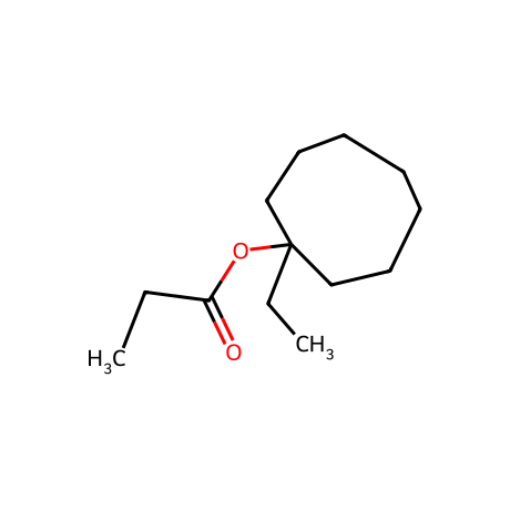 CCC(=O)OC1(CC)CCCCCCC1